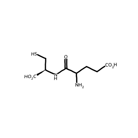 NC(CCC(=O)O)C(=O)N[C@H](CS)C(=O)O